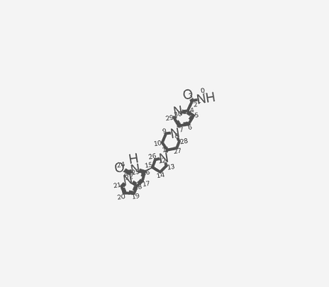 CNC(=O)c1ccc(N2CCC(N3CC[C@@H](c4cc5cccn5c(=O)[nH]4)C3)CC2)cn1